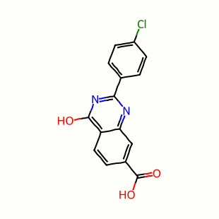 O=C(O)c1ccc2c(O)nc(-c3ccc(Cl)cc3)nc2c1